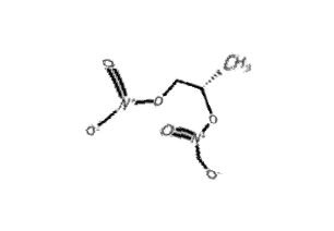 C[C@@H](CO[N+](=O)[O-])O[N+](=O)[O-]